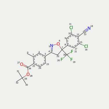 Cc1cc(C2=NOC(c3cc(Cl)c(C#N)c(Cl)c3)(C(F)(F)F)C2)ccc1C(=O)OC(C)(C)C